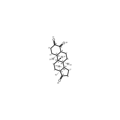 C[C@]12CC[C@H]3[C@@H](CCC4C(=O)C(=O)CC[C@@H]43)[C@H]1CCC2=O